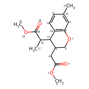 COC(=O)CC1COc2cc(C)ccc2C1C(C)C(=O)OC